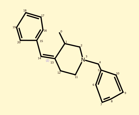 CC1CN(Cc2ccccc2)CC/C1=C/c1ccccc1